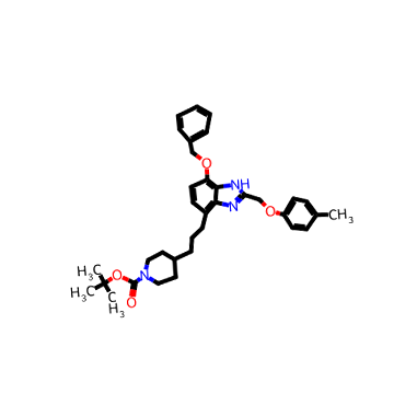 Cc1ccc(OCc2nc3c(CCCC4CCN(C(=O)OC(C)(C)C)CC4)ccc(OCc4ccccc4)c3[nH]2)cc1